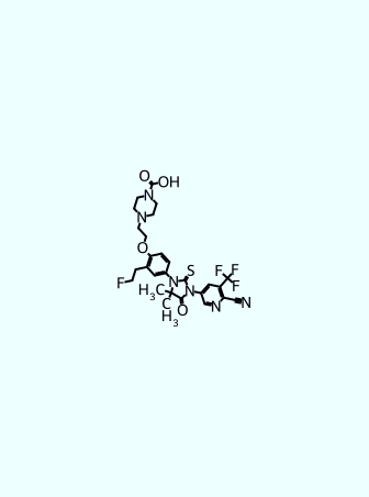 CC1(C)C(=O)N(c2cnc(C#N)c(C(F)(F)F)c2)C(=S)N1c1ccc(OCCN2CCN(C(=O)O)CC2)c(CCF)c1